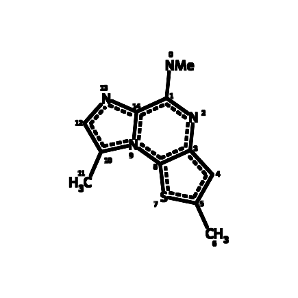 CNc1nc2cc(C)sc2n2c(C)cnc12